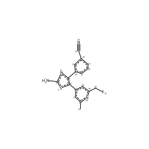 Cc1cc(-c2sc(N)nc2-c2cccc(C#N)c2)cc(CF)n1